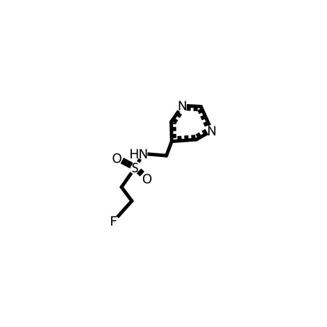 O=S(=O)(CCF)NCc1cncnc1